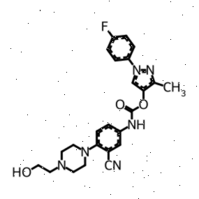 Cc1nn(-c2ccc(F)cc2)cc1OC(=O)Nc1ccc(N2CCN(CCO)CC2)c(C#N)c1